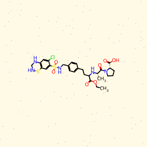 CCOC(=O)C(CCc1ccc(CNS(=O)(=O)c2cc3c(cc2Cl)NCNS3)cc1)N[C@@H](C)C(=O)N1CCC[C@H]1C(=O)O